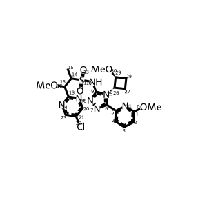 COc1cccc(-c2nnc(NS(=O)(=O)C(C)C(OC)c3ncc(Cl)cn3)n2[C@H]2CC[C@@H]2OC)n1